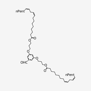 CCCCC/C=C\C/C=C\CCCCCCCC(=O)OCCCOc1cc(C=O)cc(OCCCOC(=O)CCCCCCC/C=C\C/C=C\CCCCC)c1